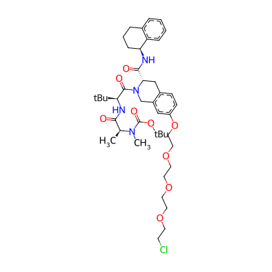 C[C@@H](C(=O)N[C@H](C(=O)N1Cc2cc(OCCOCCOCCOCCCl)ccc2C[C@H]1C(=O)N[C@H]1CCCc2ccccc21)C(C)(C)C)N(C)C(=O)OC(C)(C)C